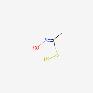 CC(=NO)SS